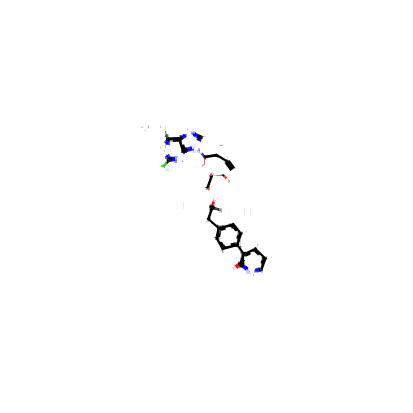 C#C[C@@H](O)[C@@H](O[C@@H](CO)COC(Cc1ccc(-c2ccc[nH]c2=O)cc1)(C(=O)O)C(=O)O)n1cnc2c(NC)nc(Cl)nc21